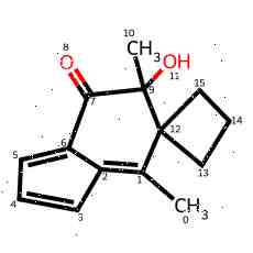 CC1=C2C=CC=C2C(=O)C(C)(O)C12CCC2